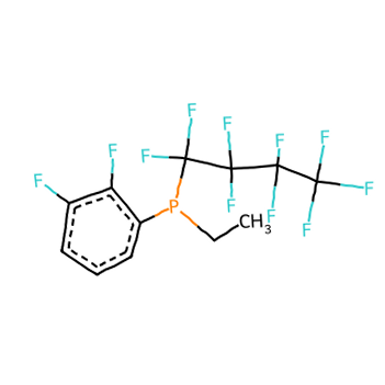 CCP(c1cccc(F)c1F)C(F)(F)C(F)(F)C(F)(F)C(F)(F)F